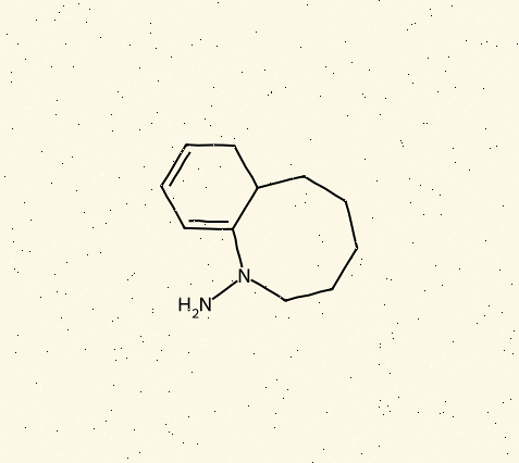 NN1CCCCCC2CC=CC=C21